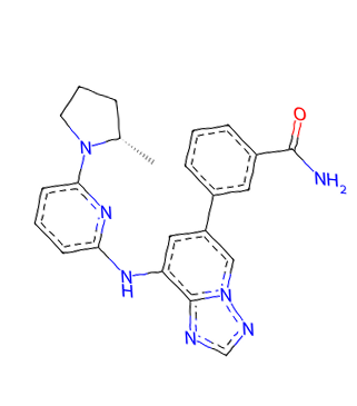 C[C@H]1CCCN1c1cccc(Nc2cc(-c3cccc(C(N)=O)c3)cn3ncnc23)n1